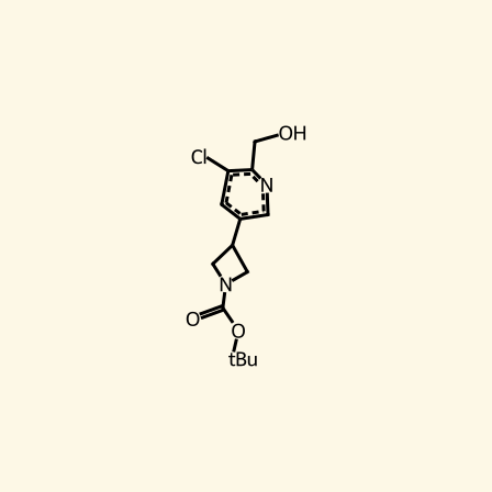 CC(C)(C)OC(=O)N1CC(c2cnc(CO)c(Cl)c2)C1